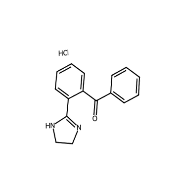 Cl.O=C(c1ccccc1)c1ccccc1C1=NCCN1